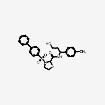 Cc1ccc(C(CCO)NC(=O)C2SCCN2S(=O)(=O)c2ccc(-c3ccccc3)cc2)cc1